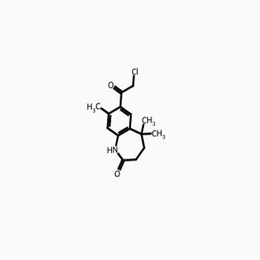 Cc1cc2c(cc1C(=O)CCl)C(C)(C)CCC(=O)N2